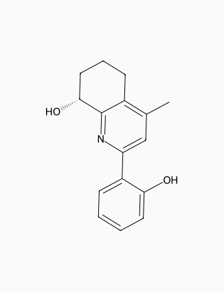 Cc1cc(-c2ccccc2O)nc2c1CCC[C@H]2O